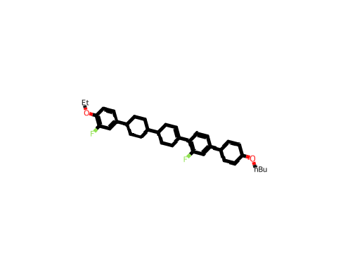 CCCCOC1CCC(c2ccc(C3=CCC(C4CCC(c5ccc(OCC)c(F)c5)CC4)CC3)c(F)c2)CC1